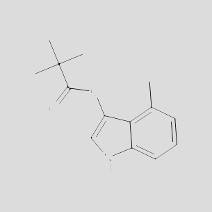 Cc1cccc2[nH]cc(OC(=O)C(C)(C)C)c12